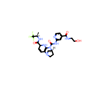 C[C@@H](NC(=O)C1C=CC2=C(N1)N(C(=O)Nc1cc(C(=O)NCCO)ccn1)[C@H]1CCN2C1)C(F)(F)F